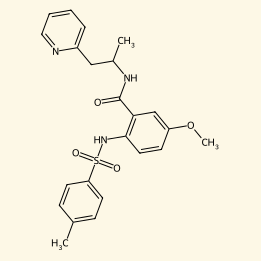 COc1ccc(NS(=O)(=O)c2ccc(C)cc2)c(C(=O)NC(C)Cc2ccccn2)c1